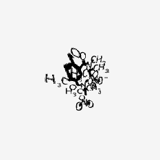 Cc1cc(C=O)c(C(=O)N(C)C(C)(C)CO[N+](=O)[O-])cc1C(=O)N(C=O)C(C)(C)CO[N+](=O)[O-]